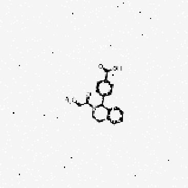 C=CC(=O)N1CCc2ccccc2C1c1ccc(C(=O)O)cc1